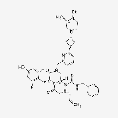 C=CCN1CC(=O)N2[C@@H](Cc3c(F)cc(O)cc3F)C(=O)N(Cc3cccc(N4CC(N5CCN(CC)[C@H](C)C5)C4)n3)C[C@@H]2N1C(=O)NCc1ccccc1